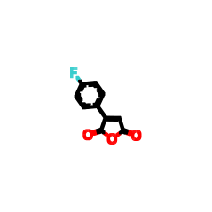 O=C1C=C(c2ccc(F)cc2)C(=O)O1